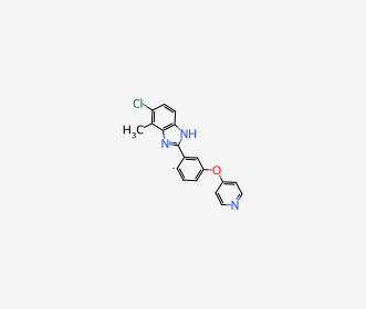 Cc1c(Cl)ccc2[nH]c(-c3[c]ccc(Oc4ccncc4)c3)nc12